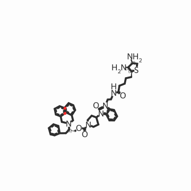 N[C@@H]1[C@H](CCCCC(=O)NCCn2c(=O)n(C3CCN(C(=O)OC[C@H](Cc4ccccc4)N(Cc4ccccc4)Cc4ccccc4)CC3)c3ccccc32)SC[C@@H]1N